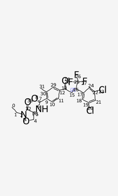 CCN1OC[C@@H](NC(=O)c2ccc(C(=O)/C=C(/c3cc(Cl)cc(Cl)c3)C(F)(F)F)cc2C)C1=O